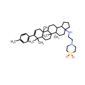 Cc1ccc(C2=CCC3(C)C(CCC4(C)C3CCC3C5CCCC5(NCCN5CCS(=O)(=O)CC5)CC[C@]34C)C2(C)C)cc1